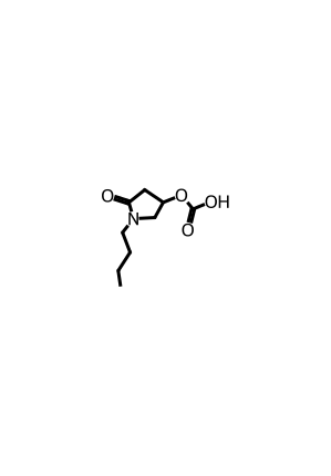 CCCCN1CC(OC(=O)O)CC1=O